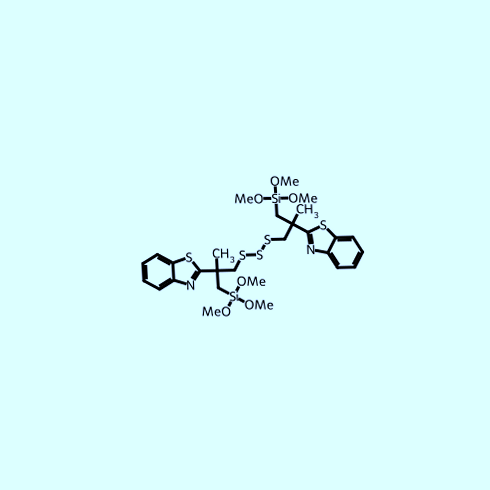 CO[Si](CC(C)(CSSSCC(C)(C[Si](OC)(OC)OC)c1nc2ccccc2s1)c1nc2ccccc2s1)(OC)OC